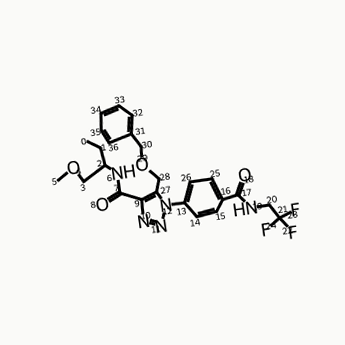 CCC(COC)NC(=O)c1nnn(-c2ccc(C(=O)NCC(F)(F)F)cc2)c1COCc1ccccc1